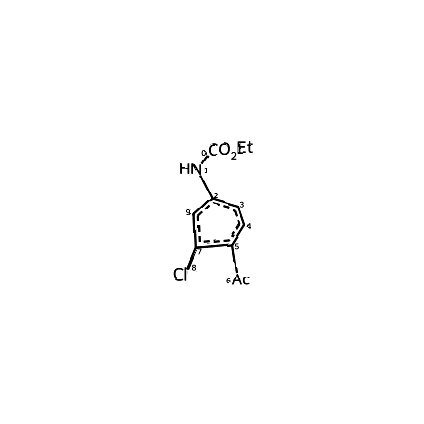 CCOC(=O)Nc1ccc(C(C)=O)c(Cl)c1